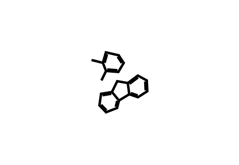 Cc1ccccc1C.c1ccc2c(c1)Cc1ccccc1-2